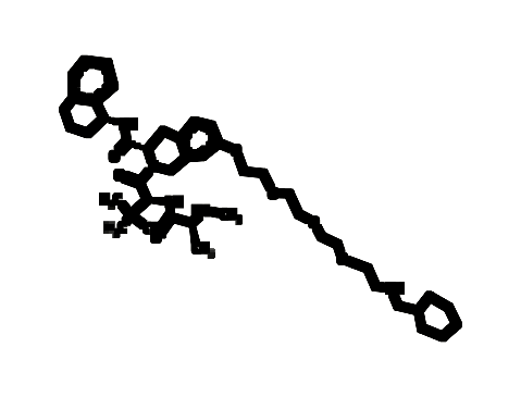 CN[C@@H](C)C(=O)N[C@H](C(=O)N1Cc2cc(OCCOCCOCCOCCNCC3CCCCC3)ccc2C[C@H]1C(=O)N[C@@H]1CCCc2ccccc21)C(C)(C)C